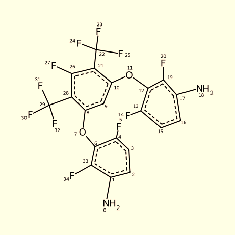 Nc1ccc(F)c(Oc2cc(Oc3c(F)ccc(N)c3F)c(C(F)(F)F)c(F)c2C(F)(F)F)c1F